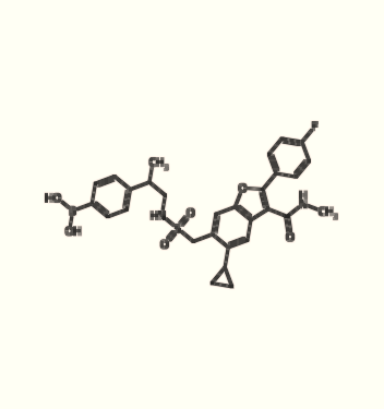 CNC(=O)c1c(-c2ccc(F)cc2)oc2cc(CS(=O)(=O)NCC(C)c3ccc(B(O)O)cc3)c(C3CC3)cc12